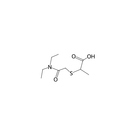 CCN(CC)C(=O)CSC(C)C(=O)O